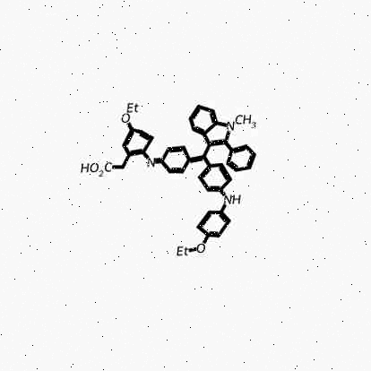 CCOc1ccc(Nc2ccc(C(=C3C=CC(=Nc4ccc(OCC)cc4CC(=O)O)C=C3)c3c(-c4ccccc4)n(C)c4ccccc34)cc2)cc1